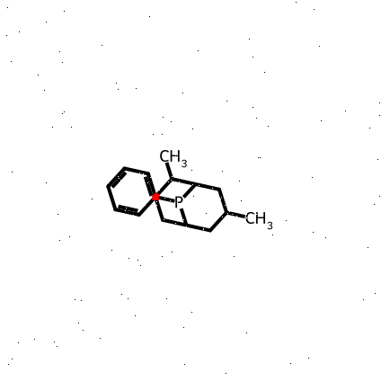 CC1CC2CCC(C)C(C1)P2c1ccccc1